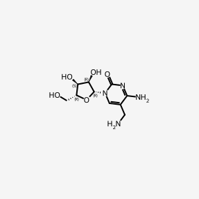 NCc1cn([C@@H]2O[C@H](CO)[C@@H](O)[C@H]2O)c(=O)nc1N